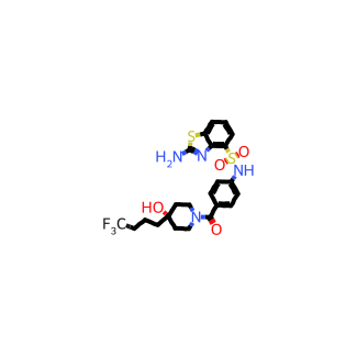 Nc1nc2c(S(=O)(=O)Nc3ccc(C(=O)N4CCC(O)(CCCC(F)(F)F)CC4)cc3)cccc2s1